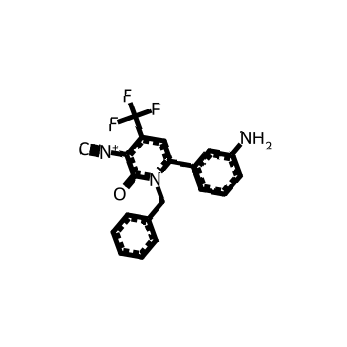 [C-]#[N+]c1c(C(F)(F)F)cc(-c2cccc(N)c2)n(Cc2ccccc2)c1=O